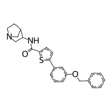 O=C(NC1CN2CCC1C2)c1ccc(-c2cccc(OCc3ccccc3)c2)s1